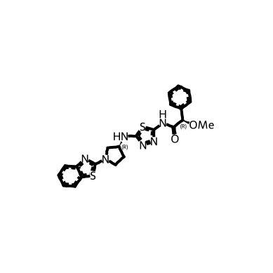 CO[C@@H](C(=O)Nc1nnc(N[C@@H]2CCN(c3nc4ccccc4s3)C2)s1)c1ccccc1